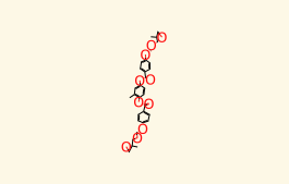 Cc1cc(OC(=O)c2ccc(OCOCC3(C)CO3)cc2)ccc1OC(=O)c1ccc(OCOCC2(C)CO2)cc1